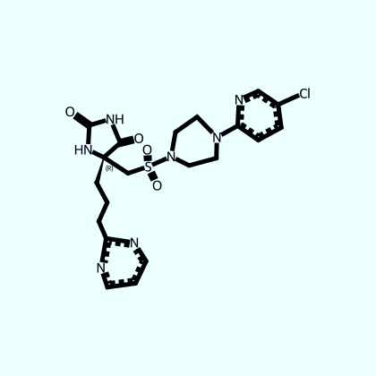 O=C1NC(=O)[C@](CCCc2ncccn2)(CS(=O)(=O)N2CCN(c3ccc(Cl)cn3)CC2)N1